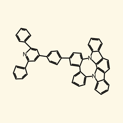 c1ccc(-c2cc(-c3ccc(-c4ccc5c(c4)c4ccccc4n4c6ccccc6c6ccc7c8ccccc8n5c7c64)cc3)cc(-c3ccccc3)n2)cc1